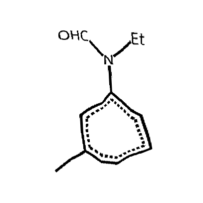 CCN(C=O)c1cccc(C)c1